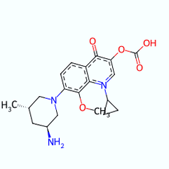 COc1c(N2C[C@@H](C)C[C@H](N)C2)ccc2c(=O)c(OC(=O)O)cn(C3CC3)c12